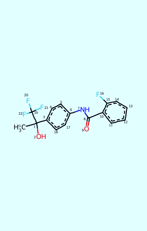 CC(O)(c1ccc(NC(=O)c2ccccc2F)cc1)C(F)(F)F